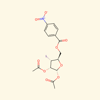 CC(=O)O[C@H]1O[C@H](COC(=O)c2ccc([N+](=O)[O-])cc2)[C@@H](I)[C@H]1OC(C)=O